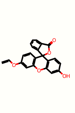 C=COc1ccc2c(c1)Oc1cc(O)ccc1C21OC(=O)c2ccccc21